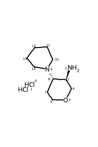 Cl.Cl.N[C@H]1COCC[C@@H]1N1CCCCC1